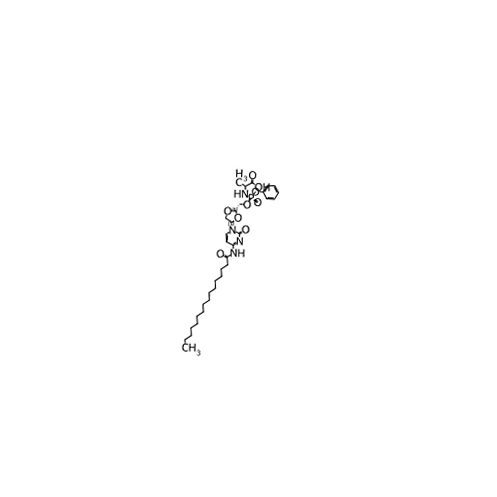 CCCCCCCCCCCCCCCC(=O)Nc1ccn([C@@H]2CO[C@H](COP(=O)(NC(C)C(=O)O)Oc3ccccc3)O2)c(=O)n1